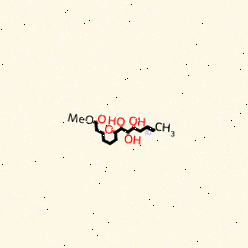 C/C=C/CC(O)C(O)C(O)C1CCCC(CC(=O)OC)O1